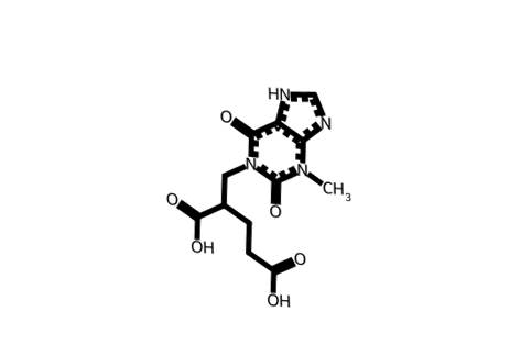 Cn1c(=O)n(CC(CCC(=O)O)C(=O)O)c(=O)c2[nH]cnc21